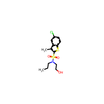 CCCN(CCO)S(=O)(=O)c1sc2ccc(Cl)cc2c1C